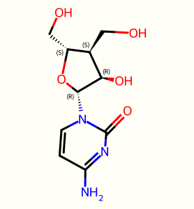 Nc1ccn([C@@H]2O[C@H](CO)[C@@H](CO)[C@H]2O)c(=O)n1